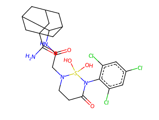 NC(=O)C12CC3CC(C1)C(NC(=O)CN1CCC(=O)N(c4c(Cl)cc(Cl)cc4Cl)S1(O)O)C(C3)C2